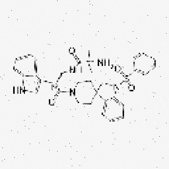 CC(C)(N)C(=O)NC[C@@H](C(=O)N1CCC2(CC1)CN(S(=O)(=O)c1ccccc1)c1ccccc12)c1c[nH]c2ccccc12